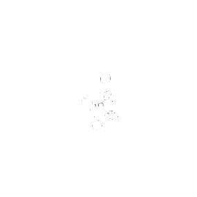 O=C(NC(Cn1c(-c2ccc(Cl)cc2)cn(Cc2ncn(-c3ncccc3Cl)n2)c1=O)C(F)(F)F)C1(C(F)(F)F)CC1